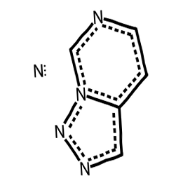 [N].c1cc2cnnn2cn1